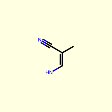 C/C(C#N)=C/[NH]